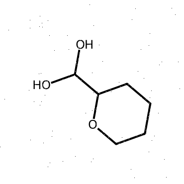 OC(O)C1CCCCO1